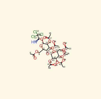 CC(=O)OCC1OC(OC(=N)C(Cl)(Cl)Cl)C(OC(C)=O)[C@@H](OC(C)=O)[C@@H]1O[C@@H]1OC(COC(C)=O)[C@@H](OC(C)=O)[C@@H](OC(C)=O)C1OC(C)=O